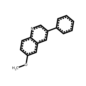 COc1ccc2ncc(-c3ccccc3)cc2c1